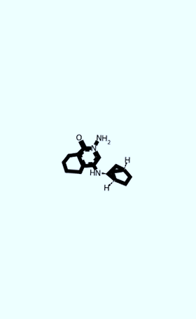 Nn1cc(N[C@@H]2C[C@H]3CC[C@@H]2C3)c2c(c1=O)CCCC2